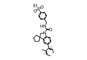 C/C=C(C)\C(=C/C)c1ccc2c(c1)C1(CCCC1)CN2C(=O)NCc1ccc(S(=O)(=O)CC)cc1